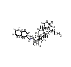 COC1C[C@H]2[C@@H]3CC[C@H]([C@H](C)/C=C/c4ccc5ccccc5n4)[C@@]3(C)CC[C@@H]2[C@@]2(C)CC[C@@H]3CC132